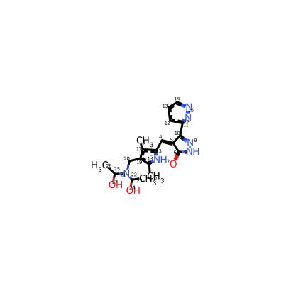 Cc1[nH]c(C=C2C(=O)NN=C2c2cccnn2)c(C)c1CN(C(C)O)C(C)O